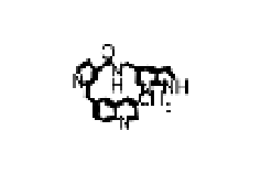 Cc1cnc2ccc(Cc3cc(C(=O)NCc4cnc5[nH]ccc5c4)ccn3)cc2c1